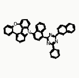 c1ccc(-c2nc(-c3ccc4ccccc4c3)nc(-c3ccc(-n4c5cccc6oc7ccccc7c7cccc4c7c65)c4ccccc34)n2)cc1